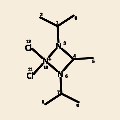 CC(C)N1C(C)N(C(C)C)[N+]1(Cl)Cl